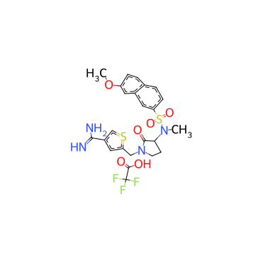 COc1ccc2ccc(S(=O)(=O)N(C)C3CCN(Cc4cc(C(=N)N)cs4)C3=O)cc2c1.O=C(O)C(F)(F)F